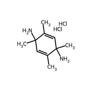 CC1=CC(C)(N)C(C)=CC1(C)N.Cl.Cl